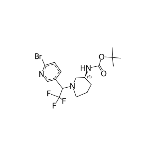 CC(C)(C)OC(=O)N[C@H]1CCCN(C(c2ccc(Br)nc2)C(F)(F)F)C1